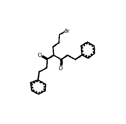 O=C(CCc1ccccc1)C(CCCBr)C(=O)CCc1ccccc1